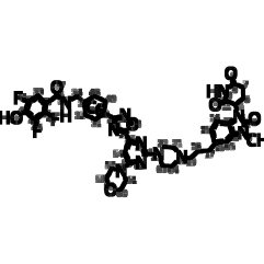 Cn1c(=O)n(C2CCC(=O)NC2=O)c2ccc(CCCN3CCN(c4nc(-c5nc([C@]67CC[C@](CNC(=O)c8cc(F)c(O)c(F)c8F)(CC6)CC7)no5)cc(N5CCOCC5)n4)CC3)cc21